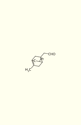 CC1=C2CC(CC=O)C(C1)C(C(C)C)C2